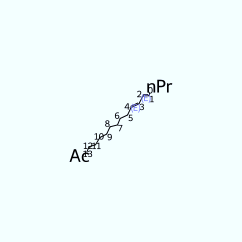 CCC/C=C/C=C/CCCCCCCCC(C)=O